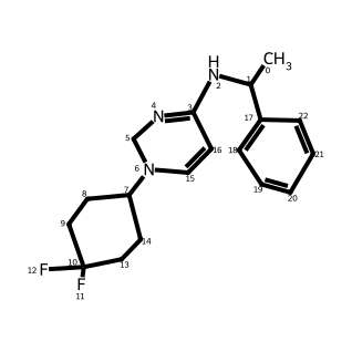 CC(NC1=NCN(C2CCC(F)(F)CC2)C=C1)c1ccccc1